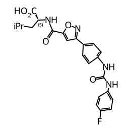 CC(C)C[C@H](NC(=O)c1cc(-c2ccc(NC(=O)Nc3ccc(F)cc3)cc2)no1)C(=O)O